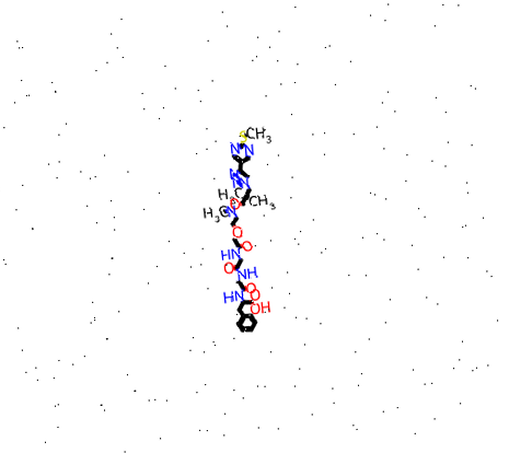 CSc1ncc(-c2cn(CC(C)(C)CON(C)CCOCC(=O)NCC(=O)NCC(=O)NC(Cc3ccccc3)C(=O)O)nn2)cn1